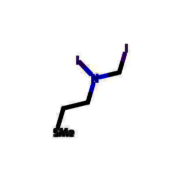 CSCCN(I)CI